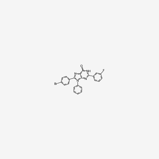 O=c1[nH]c(-c2cccc(F)c2)nc2c1nc(-c1ccc(Br)cc1)n2-c1ccccc1